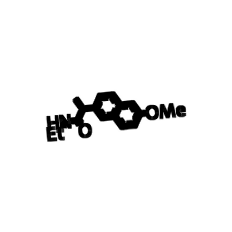 CCNC(=O)C(C)c1ccc2cc(OC)ccc2c1